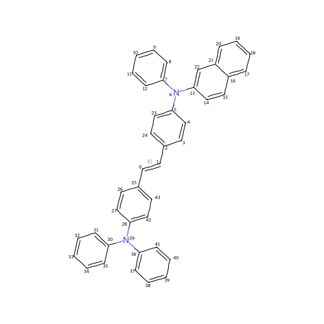 C(=C\c1ccc(N(c2ccccc2)c2ccc3ccccc3c2)cc1)/c1ccc(N(c2ccccc2)c2ccccc2)cc1